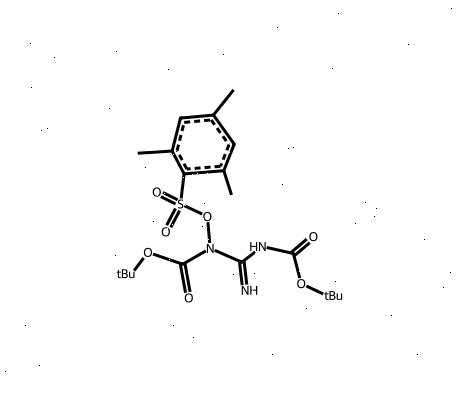 Cc1cc(C)c(S(=O)(=O)ON(C(=N)NC(=O)OC(C)(C)C)C(=O)OC(C)(C)C)c(C)c1